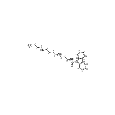 CCCCNCCCCNCCCNC(=O)n1c2ccccc2c2ccccc21